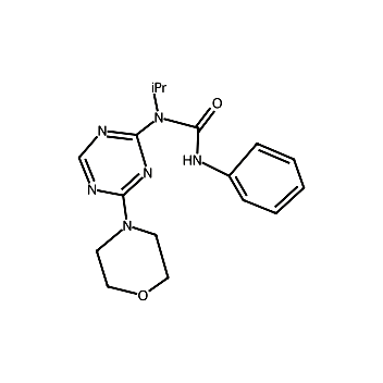 CC(C)N(C(=O)Nc1ccccc1)c1ncnc(N2CCOCC2)n1